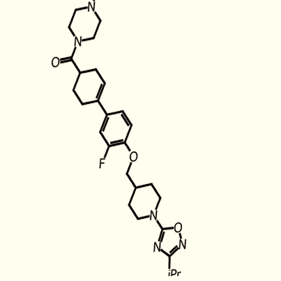 CC(C)c1noc(N2CCC(COc3ccc(C4=CCC(C(=O)N5CCN(C)CC5)CC4)cc3F)CC2)n1